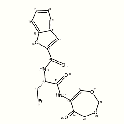 CC(C)C[C@H](NC(=O)c1cc2ccccc2o1)C(=O)NC1=COCOCC1=O